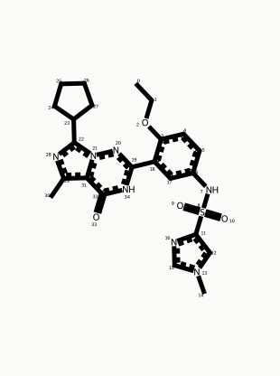 CCOc1ccc(NS(=O)(=O)c2cn(C)cn2)cc1-c1nn2c(C3CCCC3)nc(C)c2c(=O)[nH]1